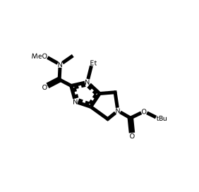 CCn1c(C(=O)N(C)OC)nc2c1CN(C(=O)OC(C)(C)C)C2